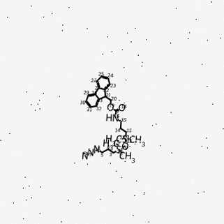 C[Si](C)(CCCN=[N+]=[N-])O[Si](C)(C)CCCNC(=O)OCC1c2ccccc2-c2ccccc21